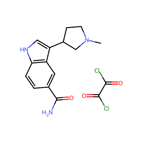 CN1CCC(c2c[nH]c3ccc(C(N)=O)cc23)C1.O=C(Cl)C(=O)Cl